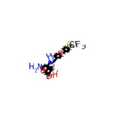 NC(=O)CC(NCc1ccc(OCc2ccc(SC(F)(F)F)cc2)cc1)c1ccc(O)cc1